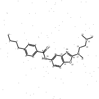 CCCCc1ccc(C(=O)Nc2ccc3oc(N(C)CCN(C)C)nc3c2)cc1